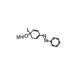 COC1(I)C=CC(N=Nc2ccccc2)=CC1